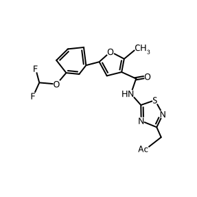 CC(=O)Cc1nsc(NC(=O)c2cc(-c3cccc(OC(F)F)c3)oc2C)n1